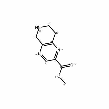 COC(=O)c1cnc2c(n1)CCNC2